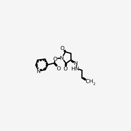 C=CCNN=C1CC(=O)N(OC(=O)c2cccnc2)C1=O